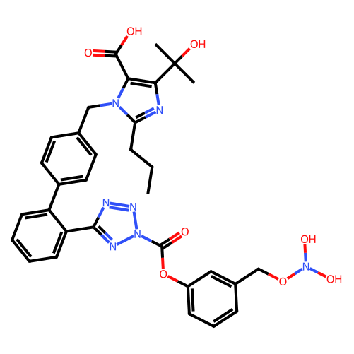 CCCc1nc(C(C)(C)O)c(C(=O)O)n1Cc1ccc(-c2ccccc2-c2nnn(C(=O)Oc3cccc(CON(O)O)c3)n2)cc1